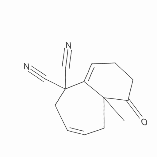 CC12CC=CCC(C#N)(C#N)C1=CCCC2=O